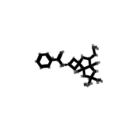 CO[C@@H]1O[C@]2(C[C@@H](OC(=O)c3ccccc3)C2)[C@H]2OC(C)(C)O[C@@H]12